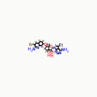 CCc1cn([C@@H]2O[C@@H]3[C@@H](Oc4ccc5cc(Br)c(N)nc5c4)CC[C@]3(O)C2O)c2ncnc(N)c12